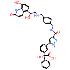 Cn1nc(C(=O)NCc2ccc(CNCC(O)c3ccc(O)c4[nH]c(=O)ccc34)cc2)cc1-c1cccc(C(O)(C(=O)O)c2ccccc2)c1